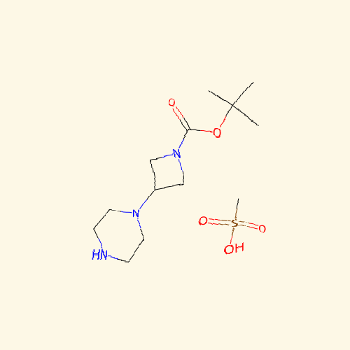 CC(C)(C)OC(=O)N1CC(N2CCNCC2)C1.CS(=O)(=O)O